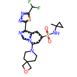 CC1(NS(=O)(=O)c2cc(N3CCC4(CC3)COC4)n3cnc(-c4nnc(C(F)F)s4)c3c2)CC1